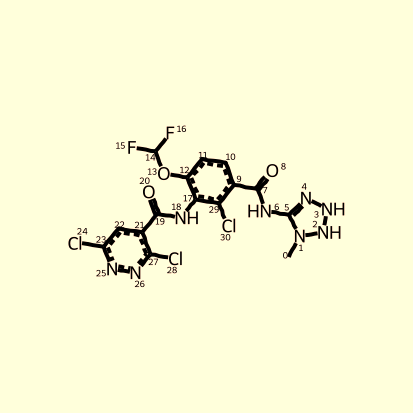 CN1NNN=C1NC(=O)c1ccc(OC(F)F)c(NC(=O)c2cc(Cl)nnc2Cl)c1Cl